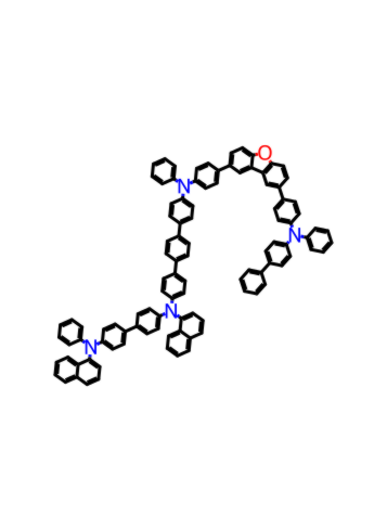 c1ccc(-c2ccc(N(c3ccccc3)c3ccc(-c4ccc5oc6ccc(-c7ccc(N(c8ccccc8)c8ccc(-c9ccc(-c%10ccc(N(c%11ccc(-c%12ccc(N(c%13ccccc%13)c%13cccc%14ccccc%13%14)cc%12)cc%11)c%11cccc%12ccccc%11%12)cc%10)cc9)cc8)cc7)cc6c5c4)cc3)cc2)cc1